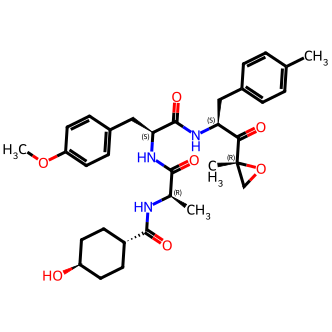 COc1ccc(C[C@H](NC(=O)[C@@H](C)NC(=O)[C@H]2CC[C@H](O)CC2)C(=O)N[C@@H](Cc2ccc(C)cc2)C(=O)[C@@]2(C)CO2)cc1